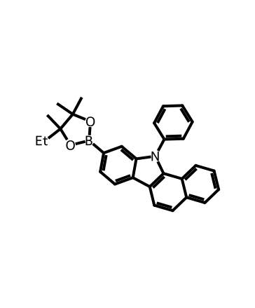 CCC1(C)OB(c2ccc3c4ccc5ccccc5c4n(-c4ccccc4)c3c2)OC1(C)C